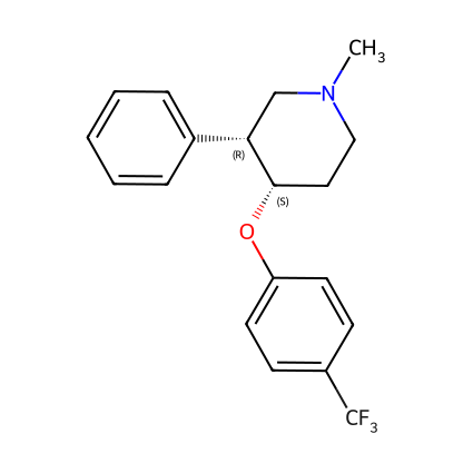 CN1CC[C@H](Oc2ccc(C(F)(F)F)cc2)[C@H](c2ccccc2)C1